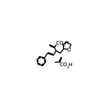 C=C(C(=O)O)C(C=Cc1ccccc1)CC1CCCO1.C=C(C)C(=O)O